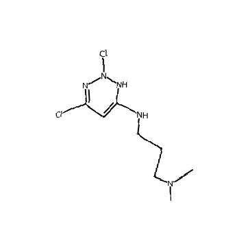 CN(C)CCCNC1=CC(Cl)=NN(Cl)N1